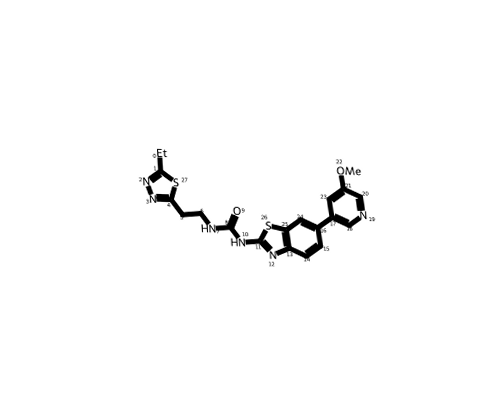 CCc1nnc(CCNC(=O)Nc2nc3ccc(-c4cncc(OC)c4)cc3s2)s1